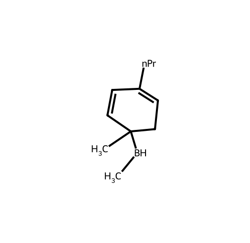 CBC1(C)C=CC(CCC)=CC1